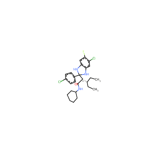 CCC(CC)[C@H](C(=O)NC1CCCCC1)C1(c2ccc(Cl)cc2)Nc2cc(F)c(Cl)cc2N1